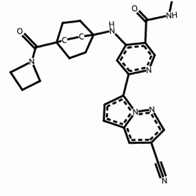 CNC(=O)c1cnc(-c2ccc3cc(C#N)cnn23)cc1NC12CCC(C(=O)N3CCC3)(CC1)CC2